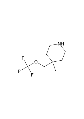 CC1(COC(F)(F)F)CCNCC1